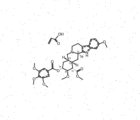 C=CC(=O)O.COC(=O)[C@H]1[C@H]2C[C@@H]3c4[nH]c5cc(OC)ccc5c4CCN3C[C@H]2C[C@@H](OC(=O)c2cc(OC)c(OC)c(OC)c2)[C@@H]1OC